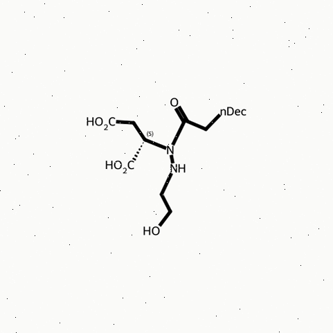 CCCCCCCCCCCC(=O)N(NCCO)[C@@H](CC(=O)O)C(=O)O